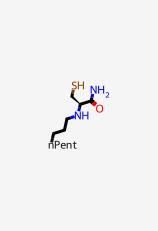 CCCCCCCCN[C@@H](CS)C(N)=O